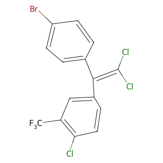 FC(F)(F)c1cc(C(=C(Cl)Cl)c2ccc(Br)cc2)ccc1Cl